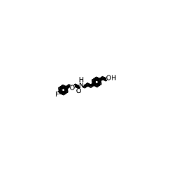 O=C(COCc1ccc(F)cc1)NCCCc1ccc(CCO)cc1